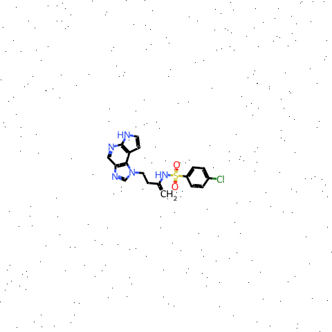 C=C(CCn1cnc2cnc3[nH]ccc3c21)NS(=O)(=O)c1ccc(Cl)cc1